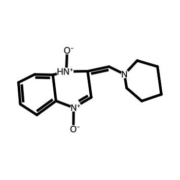 [O-][N+]1=CC(=CN2CCCCC2)[NH+]([O-])c2ccccc21